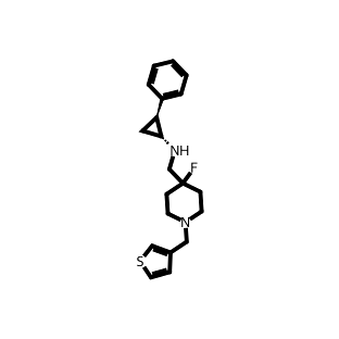 FC1(CN[C@@H]2C[C@H]2c2ccccc2)CCN(Cc2ccsc2)CC1